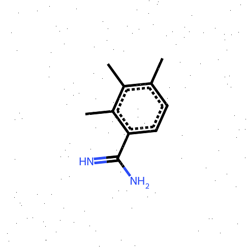 Cc1ccc(C(=N)N)c(C)c1C